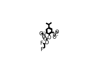 CC(C)c1cc([N+](=O)[O-])c(OC(=O)OC(F)CF)c([N+](=O)[O-])c1